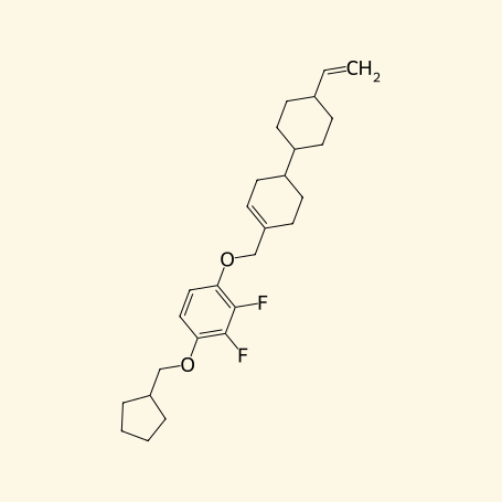 C=CC1CCC(C2CC=C(COc3ccc(OCC4CCCC4)c(F)c3F)CC2)CC1